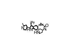 Cc1cc(-c2[nH]c3ccc([C@@H]4C[C@H]4C(=O)N(C)C4CCNCC4)cc3c2C(C)C)ccn1